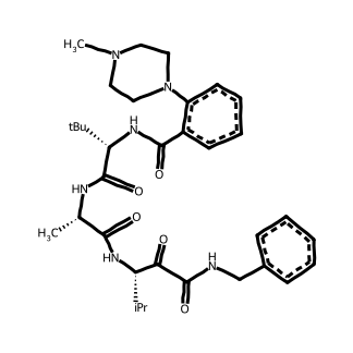 CC(C)[C@H](NC(=O)[C@H](C)NC(=O)[C@@H](NC(=O)c1ccccc1N1CCN(C)CC1)C(C)(C)C)C(=O)C(=O)NCc1ccccc1